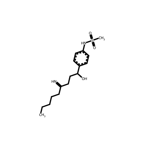 CCCCCC(=N)CCC(O)c1ccc(NS(C)(=O)=O)cc1